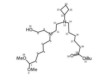 COC(CCCCCN(CCO)CCN(CCCCCC(=O)OCC(C)C)C1CCC1)OC